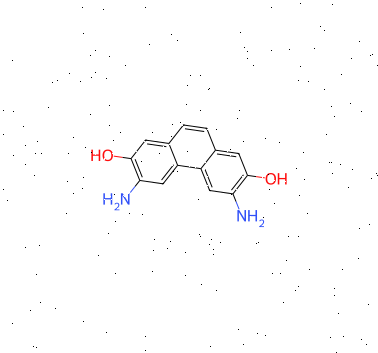 Nc1cc2c(ccc3cc(O)c(N)cc32)cc1O